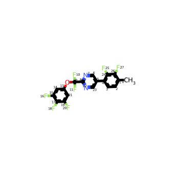 Cc1ccc(-c2cnc(C(F)(F)Oc3cc(F)c(F)c(F)c3)nc2)c(F)c1F